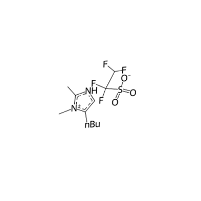 CCCCc1c[nH]c(C)[n+]1C.O=S(=O)([O-])C(F)(F)C(F)F